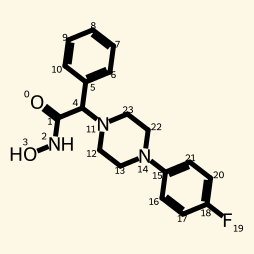 O=C(NO)C(c1ccccc1)N1CCN(c2ccc(F)cc2)CC1